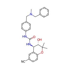 CN(Cc1ccccc1)Cc1ccc(NC(=O)N[C@@H]2c3cc(C#N)ccc3OC(C)(C)[C@H]2O)cc1